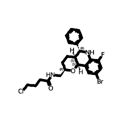 O=C(CCCCl)NC[C@H]1CC[C@@H]2[C@H](O1)c1cc(Br)cc(F)c1N[C@H]2c1ccccc1